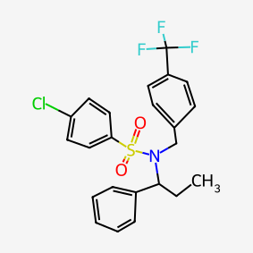 CCC(c1ccccc1)N(Cc1ccc(C(F)(F)F)cc1)S(=O)(=O)c1ccc(Cl)cc1